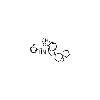 COc1cccc(C2(CCNCc3cccs3)CCOC3(CCCC3)C2)n1